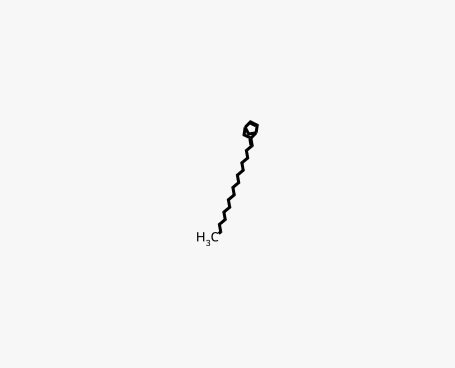 CCCCCCCCCCCCCCCC=C1CC2C=CC1C2